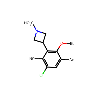 CCOc1c(C(C)=O)cc(Cl)c(C#N)c1C1CN(C(=O)O)C1